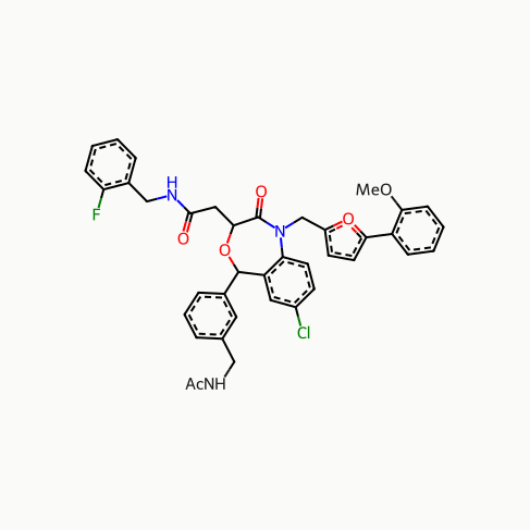 COc1ccccc1-c1ccc(CN2C(=O)C(CC(=O)NCc3ccccc3F)OC(c3cccc(CNC(C)=O)c3)c3cc(Cl)ccc32)o1